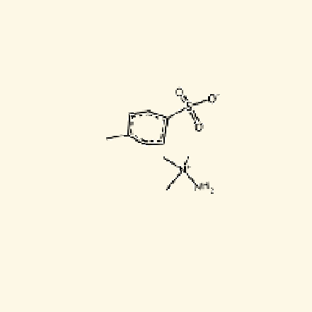 C[N+](C)(C)N.Cc1ccc(S(=O)(=O)[O-])cc1